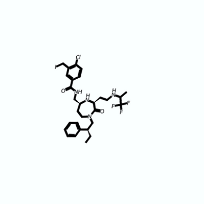 CC[C@H](CN1CC[C@@H](CNC(=O)c2ccc(Cl)c(CI)c2)N[C@@H](CCNC(C)C(F)(F)F)C1=O)c1ccccc1